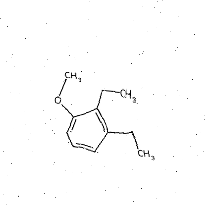 CCc1[c]ccc(OC)c1CC